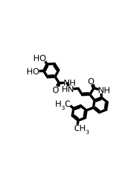 Cc1cc(C)cc(-c2cccc3c2C(=CCNNC(=O)c2ccc(O)c(O)c2)C(=O)N3)c1